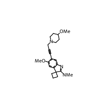 CNC1=Nc2cc(C#CCN3CCC(OC)CC3)c(OC)cc2C12CCC2